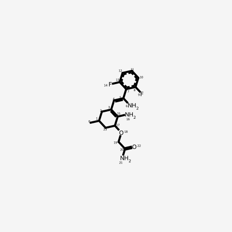 CC1CC(/C=C(\N)c2c(F)cccc2F)=C(N)C(OCC(N)=O)C1